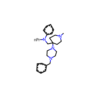 CCCN(CC1(N2CCN(Cc3ccccc3)CC2)CCN(C)CC1)c1ccccc1